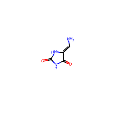 N/C=C1\NC(=O)NC1=O